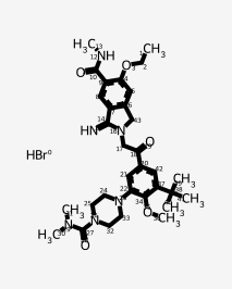 Br.CCOc1cc2c(cc1C(=O)NC)C(=N)N(CC(=O)c1cc(N3CCN(C(=O)N(C)C)CC3)c(OC)c(C(C)(C)C)c1)C2